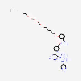 C[C@@H](NC(=O)c1cccc(NC2(C(=N)NC(=N)c3ccncc3)CCN(C)CC2)c1)c1cccc(OCCCCCCOCCOCCOCCCC(=O)O)c1